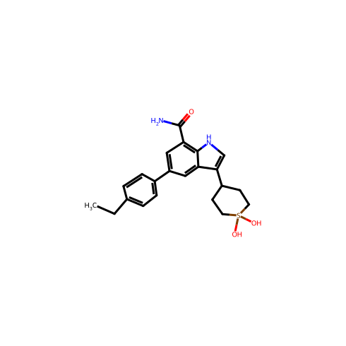 CCc1ccc(-c2cc(C(N)=O)c3[nH]cc(C4CCS(O)(O)CC4)c3c2)cc1